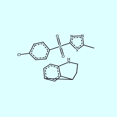 Cc1nnc(S(=O)(=O)c2ccc(Cl)cc2)s1.c1cc2c3cc1C3CCN2